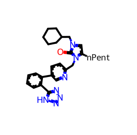 CCCCCc1cn(CC2CCCCC2)c(=O)n1Cc1ccc(-c2ccccc2-c2nnn[nH]2)cn1